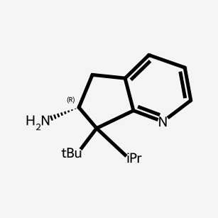 CC(C)C1(C(C)(C)C)c2ncccc2C[C@H]1N